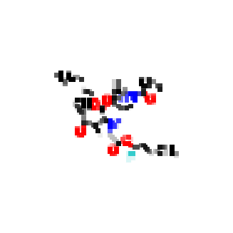 C#CC(=O)C1CC(C(=O)OC(F)CCC)N(CC(CC)CNC(C)=O)C1C(=O)OCCCC